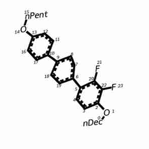 CCCCCCCCCCOc1ccc(-c2ccc(-c3ccc(OCCCCC)cc3)cc2)c(F)c1F